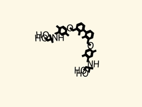 Cc1cc(OCc2cccc(-c3cccc(COc4cc(C)c(CNC(C)(CO)CO)cc4C)c3C)c2C)c(C)cc1CNC(C)(CO)CO